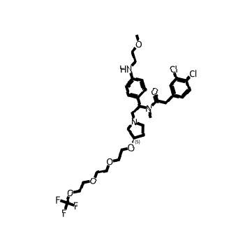 COCCNc1ccc(C(CN2CC[C@H](OCCOCCOCCOC(F)(F)F)C2)N(C)C(=O)Cc2ccc(Cl)c(Cl)c2)cc1